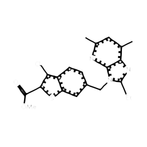 CCc1nc2c(C)cc(C)nc2n1Cc1ccc2c(Cl)c(C(=O)OC)sc2c1